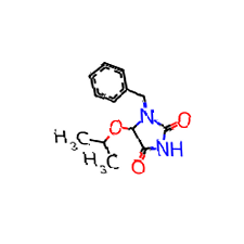 CC(C)OC1C(=O)NC(=O)N1Cc1ccccc1